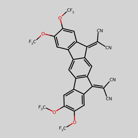 N#CC(C#N)=C1c2cc(OC(F)(F)F)c(OC(F)(F)F)cc2-c2cc3c(cc21)C(=C(C#N)C#N)c1cc(OC(F)(F)F)c(OC(F)(F)F)cc1-3